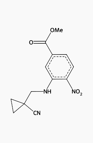 COC(=O)c1ccc([N+](=O)[O-])c(NCC2(C#N)CC2)c1